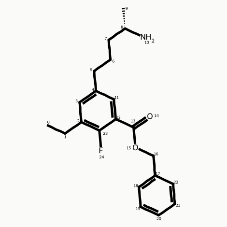 CCc1cc(CCC[C@H](C)N)cc(C(=O)OCc2ccccc2)c1F